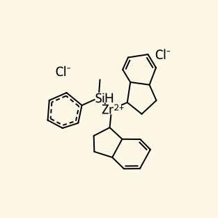 C[SiH](c1ccccc1)[Zr+2]([CH]1CCC2C=CC=CC21)[CH]1CCC2C=CC=CC21.[Cl-].[Cl-]